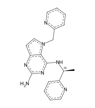 C[C@H](Nc1nc(N)nc2ccn(Cc3ccccn3)c12)c1ccccn1